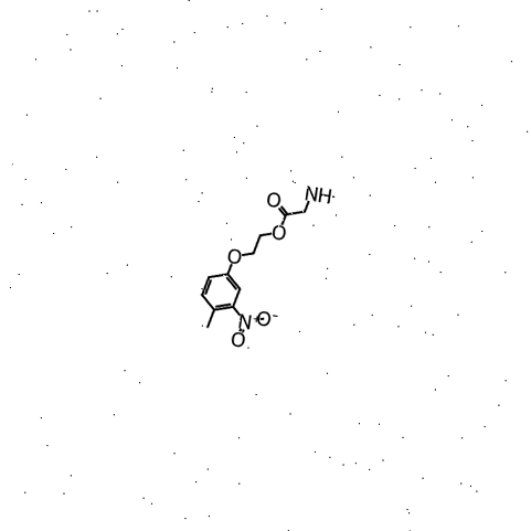 Cc1ccc(OCCOC(=O)C[NH])cc1[N+](=O)[O-]